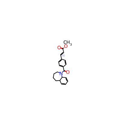 COC(=O)/C=C/c1ccc(C(=O)N2CCCCC3C=CC=CC32)cc1